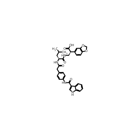 CC(C)C[C@H](NC(=O)Cc1ccc(NC(=O)c2c[nH]c3ccccc23)cc1)C(=O)NC[C@@H](C(=O)O)c1ccc2c(c1)OCO2